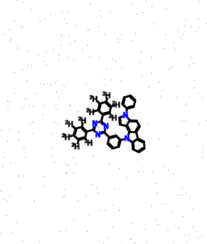 [2H]c1c([2H])c([2H])c(-c2nc(-c3cccc(-n4c5ccccc5c5ccc6c(ccn6-c6ccccc6)c54)c3)nc(-c3c([2H])c([2H])c([2H])c([2H])c3[2H])n2)c([2H])c1[2H]